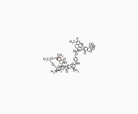 CC[C@@]1(O)C(=O)OCc2c1cc1n(c2=O)Cc2c-1nc1cc(F)c(C)c3c1c2C(NC(=O)OCc1ccc(NC(=O)CN(C)C(=O)CNC(=O)[C@@H](CCCCN)NC(=O)[C@@H](Cc2ccccc2)NC(=O)CCC(C)OCCOC(C)CCOCCC(C)C)cc1)CC3